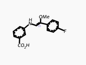 CO/C(=C\Nc1cccc(C(=O)O)c1)c1ccc(F)cc1